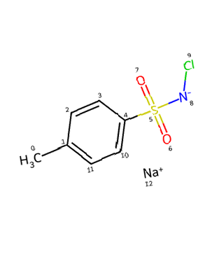 Cc1ccc(S(=O)(=O)[N-]Cl)cc1.[Na+]